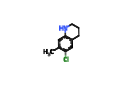 Cc1cc2c(cc1Cl)CCCN2